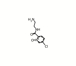 NCCNC(=O)c1ccc(Cl)c[n+]1[O-]